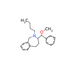 CCCCN1Cc2ccccc2CCC1C(OC)c1ccccc1